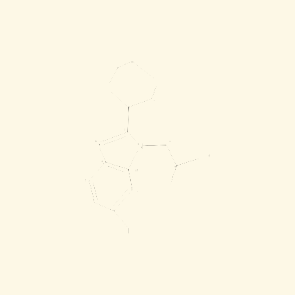 Fc1ccc2nc(C3COCCO3)n(CC(F)F)c2c1